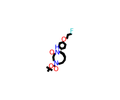 CC(C)(C)OC(=O)N1CCCC=C=C([C@H]2CC[C@@H](OCCCF)CC2)NC(=O)CC1